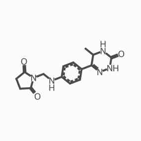 CC1NC(=O)NN=C1c1ccc(NCN2C(=O)CCC2=O)cc1